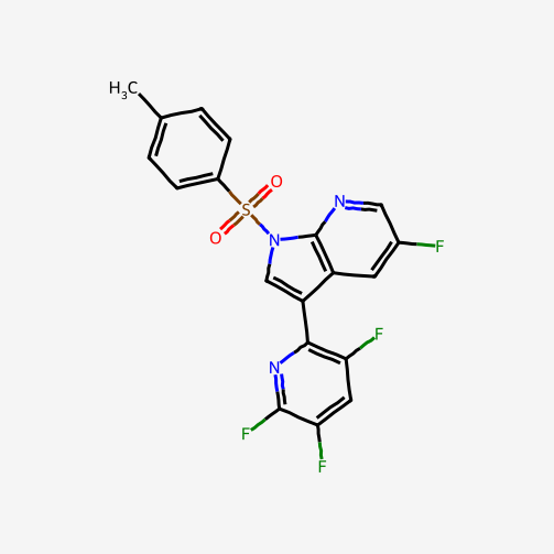 Cc1ccc(S(=O)(=O)n2cc(-c3nc(F)c(F)cc3F)c3cc(F)cnc32)cc1